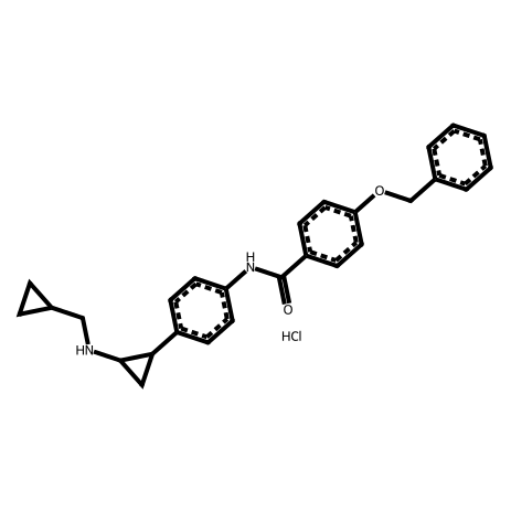 Cl.O=C(Nc1ccc(C2CC2NCC2CC2)cc1)c1ccc(OCc2ccccc2)cc1